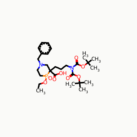 CCOP1(=O)CCN(Cc2ccccc2)CC1(CCCN(C(=O)OC(C)(C)C)C(=O)OC(C)(C)C)C(=O)O